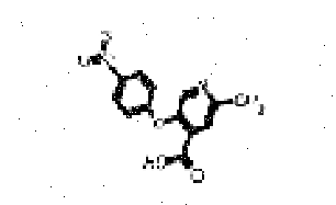 Cc1cc(C(=O)O)c(Oc2ccc([N+](=O)[O-])cc2)cn1